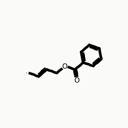 [CH2]/C=C/COC(=O)c1ccccc1